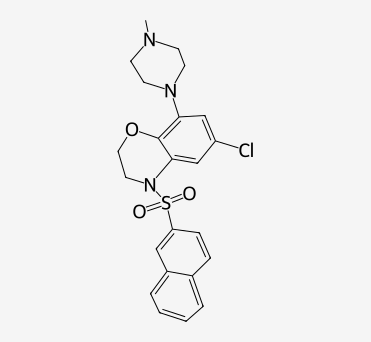 CN1CCN(c2cc(Cl)cc3c2OCCN3S(=O)(=O)c2ccc3ccccc3c2)CC1